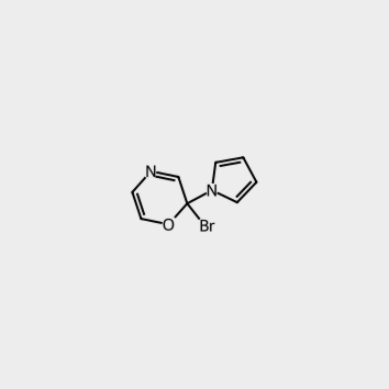 BrC1(n2cccc2)C=NC=CO1